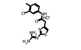 Cc1ccc(NC(=O)Cc2csc(N=C(N)N)n2)cc1Cl.Cl